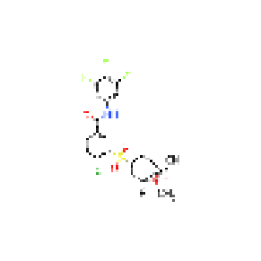 C[C@H]1CC2CC(S(=O)(=O)c3cc(C(=O)Nc4cc(F)c(F)c(F)c4)ccc3Cl)C[C@H]1[C@@]2(O)CC#N